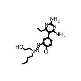 CCCCN(CCO)/N=N/c1cc(-c2c(N)nc(N)nc2CC)ccc1Cl